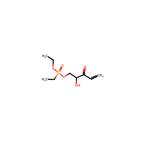 C=CC(=O)C(O)COP(=O)(CC)OCC